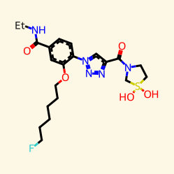 CCNC(=O)c1ccc(-n2cc(C(=O)N3CCS(O)(O)C3)nn2)c(OCCCCCCF)c1